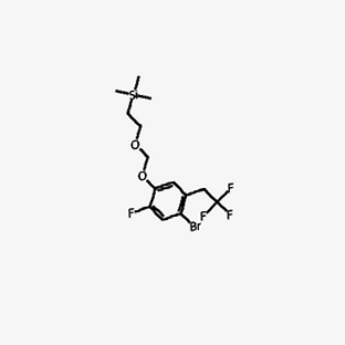 C[Si](C)(C)CCOCOc1cc(CC(F)(F)F)c(Br)cc1F